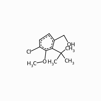 COc1c(Cl)ccc(CO)c1C(C)(C)C